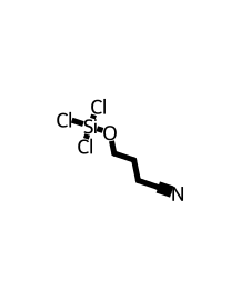 N#CCCCO[Si](Cl)(Cl)Cl